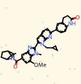 COc1cc(C(=O)N2CC3CCC2[C@@H]3C)cc2nc(-c3cc4ccc(-c5ccc6c(c5)CCC(=O)N6)nc4n3CC3CC3)n(C)c12